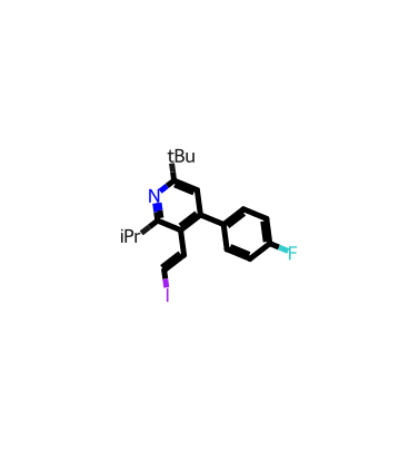 CC(C)c1nc(C(C)(C)C)cc(-c2ccc(F)cc2)c1C=CI